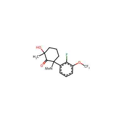 CNC1(c2cccc(OC(F)(F)F)c2F)CCCC(C)(O)C1=O